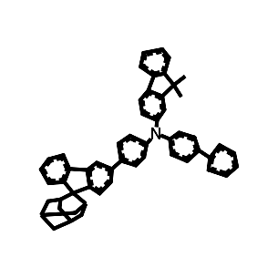 CC1(C)c2ccccc2-c2ccc(N(c3ccc(-c4ccccc4)cc3)c3ccc(-c4ccc5c(c4)-c4ccccc4C54C5CC6CC(C5)CC4C6)cc3)cc21